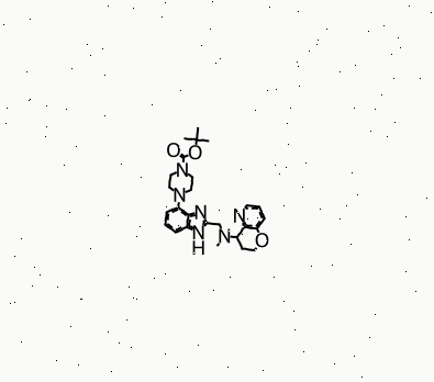 CN(Cc1nc2c(N3CCN(C(=O)OC(C)(C)C)CC3)cccc2[nH]1)C1CCOc2cccnc21